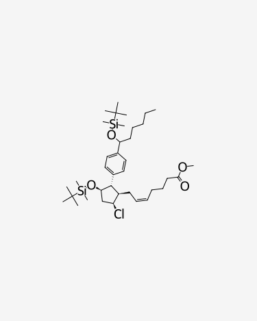 CCCCCC(O[Si](C)(C)C(C)(C)C)c1ccc([C@@H]2[C@@H](C/C=C\CCCC(=O)OC)[C@@H](Cl)C[C@H]2O[Si](C)(C)C(C)(C)C)cc1